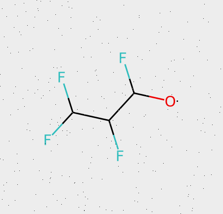 [O]C(F)C(F)C(F)F